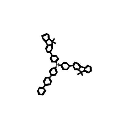 CC1(C)c2ccccc2-c2ccc(-c3ccc(N(C4=CCC(c5ccc6c(c5)C(C)(C)c5ccccc5-6)C=C4)c4ccc(-c5ccc(-c6ccccc6)cc5)cc4)cc3)cc21